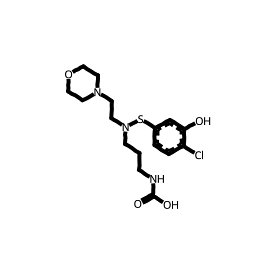 O=C(O)NCCCN(CCN1CCOCC1)Sc1ccc(Cl)c(O)c1